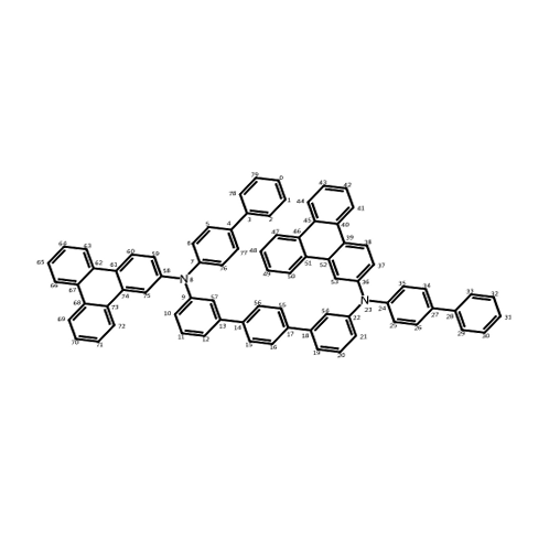 c1ccc(-c2ccc(N(c3cccc(-c4ccc(-c5cccc(N(c6ccc(-c7ccccc7)cc6)c6ccc7c8ccccc8c8ccccc8c7c6)c5)cc4)c3)c3ccc4c5ccccc5c5ccccc5c4c3)cc2)cc1